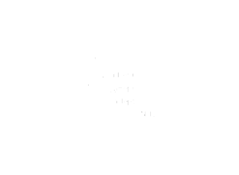 CCCCCCCC.CCCCCCCC.CCCCCCCC.[CH3][V](=[O])(=[O])[O-].[NH4+]